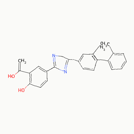 C=C(O)c1cc(C2=NCC(c3ccc(-c4ccccc4C)c(C)c3)=N2)ccc1O